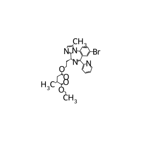 CCOC(=O)C(C)CC(=O)OCC[C@@H]1N=C(c2ccccn2)c2cc(Br)ccc2-n2c(C)cnc21